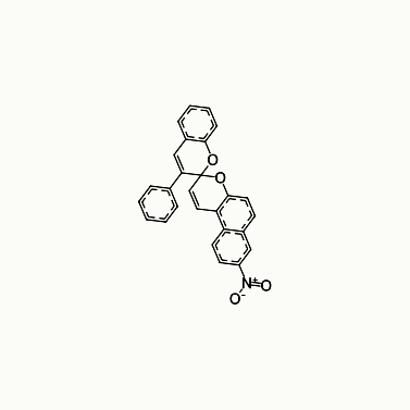 O=[N+]([O-])c1ccc2c3c(ccc2c1)OC1(C=C3)Oc2ccccc2C=C1c1ccccc1